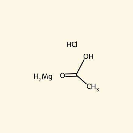 CC(=O)O.Cl.[MgH2]